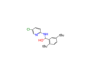 CC(C)(C)c1ccc(C(C)(C)C)c(C(O)Nc2ccc(Cl)cn2)c1